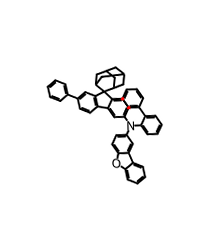 c1ccc(-c2ccc3c(c2)C2(c4ccc(N(c5ccc6oc7ccccc7c6c5)c5ccccc5-c5ccccc5)cc4-3)C3CC4CC(C3)CC2C4)cc1